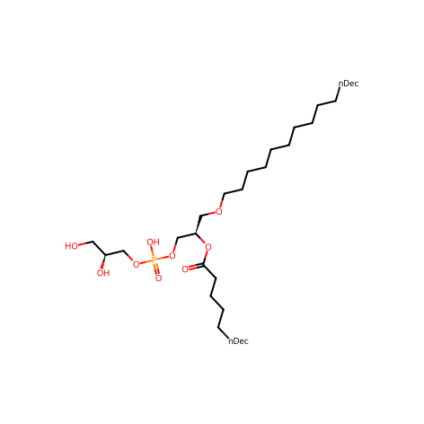 CCCCCCCCCCCCCCCCCCCCOC[C@H](COP(=O)(O)OC[C@@H](O)CO)OC(=O)CCCCCCCCCCCCCC